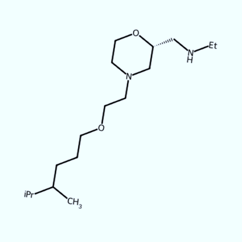 CCNC[C@@H]1CN(CCOCCCC(C)C(C)C)CCO1